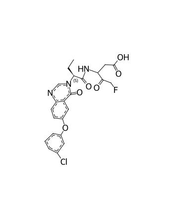 CC[C@@H](C(=O)NC(CC(=O)O)C(=O)CF)n1cnc2ccc(Oc3cccc(Cl)c3)cc2c1=O